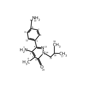 Cc1c(N)c(-c2ccc(CN)cc2)nn(CC(C)C)c1=O